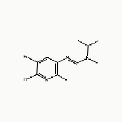 Cc1nc(Cl)c(Br)cc1/N=C/N(C)C(C)C